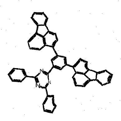 c1ccc(-c2nc(-c3ccccc3)nc(-c3cc(-c4ccc5c6c(cccc46)-c4ccccc4-5)cc(-c4ccc5c6c(cccc46)-c4ccccc4-5)c3)n2)cc1